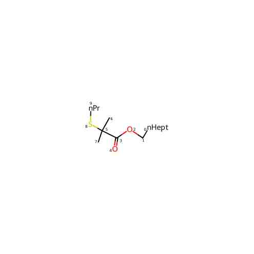 CCCCCCCCOC(=O)C(C)(C)SCCC